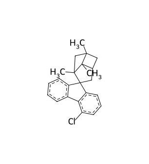 CC12CC3CC4(c5ccccc5-c5c(Cl)cccc54)C(C)(C1)C32C